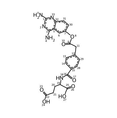 Nc1nc(N)c2cc(OC(=O)Cc3ccc(C(=O)NC(CCC(=O)O)C(=O)O)cc3)ccc2n1